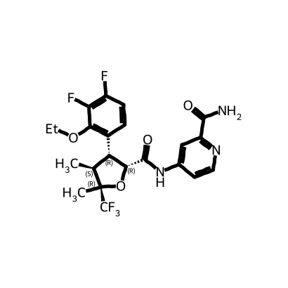 CCOc1c([C@@H]2[C@H](C(=O)Nc3ccnc(C(N)=O)c3)O[C@@](C)(C(F)(F)F)[C@H]2C)ccc(F)c1F